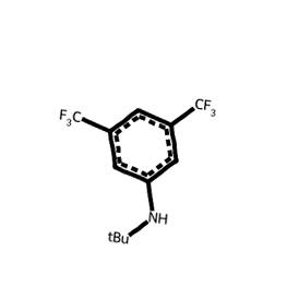 CC(C)(C)Nc1cc(C(F)(F)F)cc(C(F)(F)F)c1